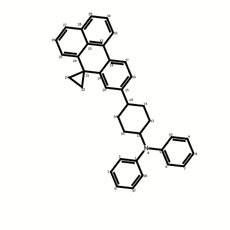 c1ccc(N(c2ccccc2)C2CCC(c3ccc4c(c3)C3(CC3)c3cccc5cccc-4c35)CC2)cc1